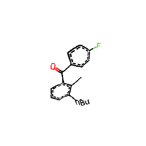 CCCCc1cccc(C(=O)c2ccc(F)cc2)c1C